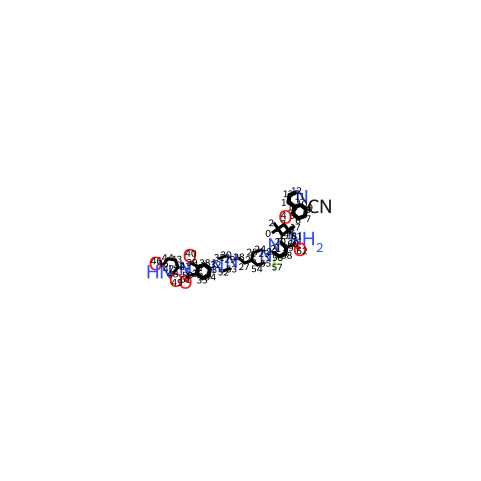 CC1(C)[C@H](Oc2ccc(C#N)c3ncccc23)C(C)(C)[C@H]1c1nc(N2CCC(CCN3CCN(c4ccc5c(c4)C(=O)N(C4CCC(=O)NC4=O)C5=O)CC3)CC2)c(F)cc1C(N)=O